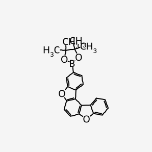 CC1(C)OB(c2ccc3c(c2)oc2ccc4oc5ccccc5c4c23)OC1(C)C